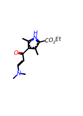 CCOC(=O)c1[nH]c(C)c(C(=O)C=CN(C)C)c1C